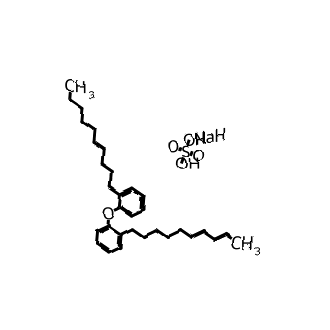 CCCCCCCCCCc1ccccc1Oc1ccccc1CCCCCCCCCC.O=S(=O)(O)O.[NaH]